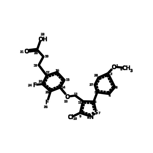 COc1ccc(-c2snc(Cl)c2COc2ccc(CCC(=O)O)c(F)c2F)cc1